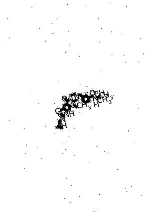 CCOc1cc(NC(=O)NCC2CC2)c(Cl)cc1C(=O)N1CCN(Cc2cccc(C(=O)NC(C)(C)C)c2)CC1